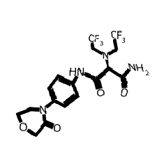 NC(=O)[C@@H](C(=O)Nc1ccc(N2CCOCC2=O)cc1)N(CC(F)(F)F)CC(F)(F)F